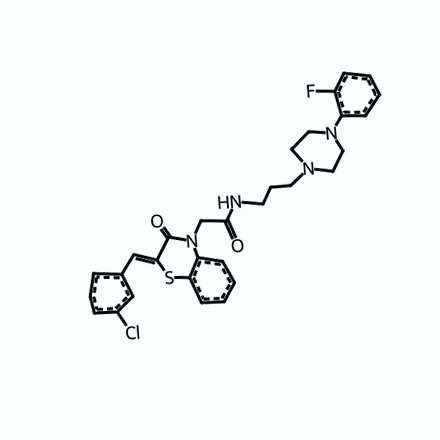 O=C(CN1C(=O)C(=Cc2cccc(Cl)c2)Sc2ccccc21)NCCCN1CCN(c2ccccc2F)CC1